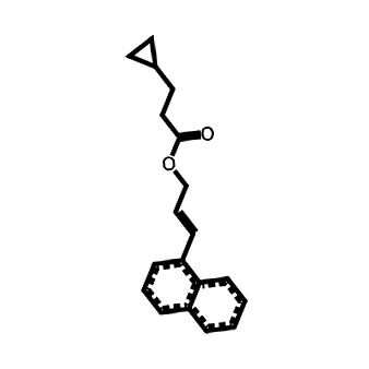 O=C(CCC1CC1)OCC=Cc1cccc2ccccc12